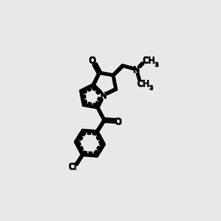 CN(C)CC1Cn2c(C(=O)c3ccc(Cl)cc3)ccc2C1=O